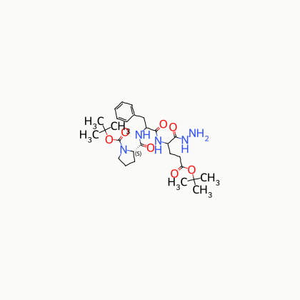 CC(C)(C)OC(=O)CCC(NC(=O)C(Cc1ccccc1)NC(=O)[C@@H]1CCCN1C(=O)OC(C)(C)C)C(=O)NN